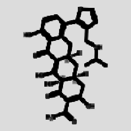 CC(C)NCc1ccoc1-c1ccc(O)c2c1C[C@H]1C[C@H]3CC(O)=C(C(N)=O)C(=O)[C@@]3(O)C(O)=C1C2=O